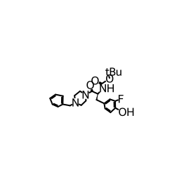 CC(C)(C)OC(=O)N[C@@H](Cc1ccc(O)c(F)c1)C(=O)N1CCN(Cc2ccccc2)CC1